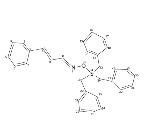 C(=Cc1ccccc1)C=NO[Si](Cc1ccccc1)(Cc1ccccc1)Cc1ccccc1